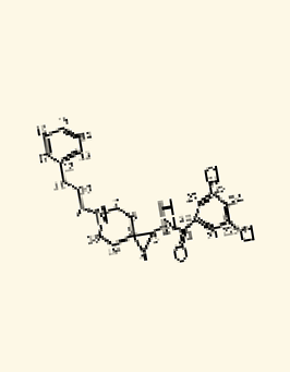 O=C(NC1CC12CCN(CCCc1ccccc1)CC2)c1cc(Cl)cc(Cl)c1